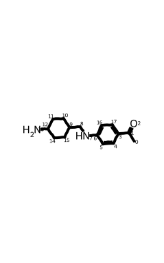 CC(=O)c1ccc(NCC2CCC(N)CC2)cc1